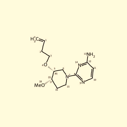 C=CCCO[C@@H]1CN(c2nccc(N)n2)CC[C@@H]1OC